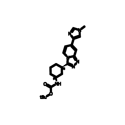 Cn1cnc(-c2ccn3c([C@H]4CCC[C@@H](NC(=O)OC(C)(C)C)C4)nnc3c2)c1